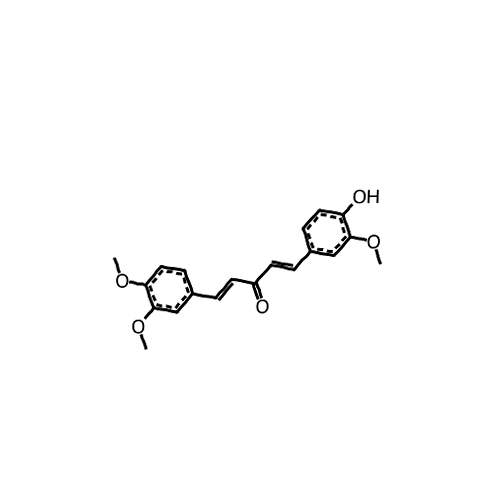 COc1cc(/C=C/C(=O)/C=C/c2ccc(OC)c(OC)c2)ccc1O